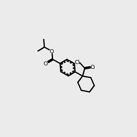 CC(C)OC(=O)c1ccc(C2(C(=O)Cl)CCCCC2)cc1